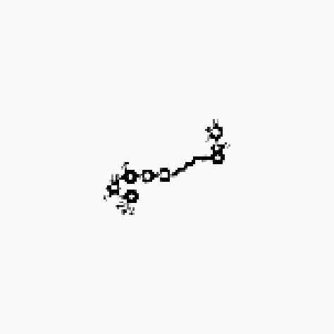 COc1cc(N2CCC(N3CCN(CCCCCCC#Cc4cccc5c4CN(C4CCC(=O)NC4=O)C5=O)CC3)CC2)ccc1Nc1ncc(Cl)c(Nc2ccccc2P(=O)(OC)OC)n1